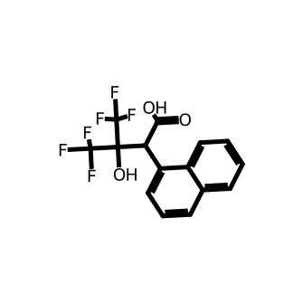 O=C(O)C(c1cccc2ccccc12)C(O)(C(F)(F)F)C(F)(F)F